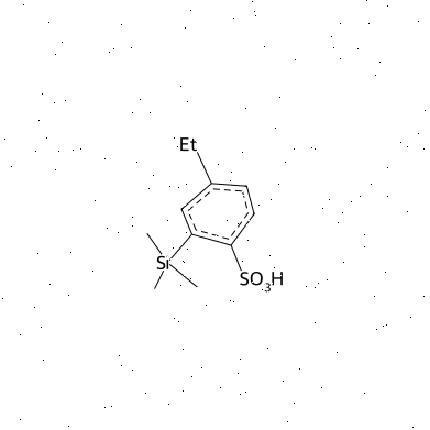 CCc1ccc(S(=O)(=O)O)c([Si](C)(C)C)c1